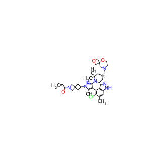 C=CC(=O)N1CC2(CC(n3nc(N4CC[C@@H](CN5CCOC6(COC6)C5)CC4(C)C)c(-c4c(Cl)c(C)cc5[nH]ncc45)c3C)C2)C1